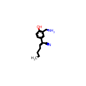 CCCCC=C(C#N)c1ccc(O)c(CN)c1